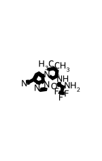 CC1(C)C[C@@H](NC(=O)[C@@H](N)C(F)(F)F)CN(c2ccc(C#N)c3nccnc23)C1